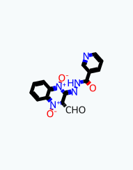 O=CC1C(=NNC(=O)c2cccnc2)[N+]([O-])=c2ccccc2=[N+]1[O-]